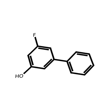 Oc1cc(F)cc(-c2ccccc2)c1